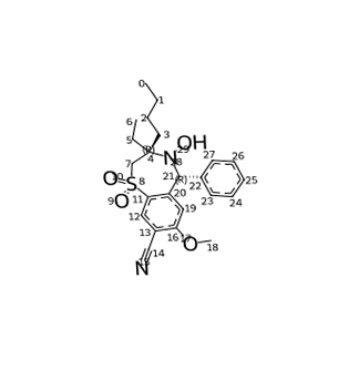 CCCC[C@]1(CC)CS(=O)(=O)c2cc(C#N)c(OC)cc2[C@@H](c2ccccc2)N1O